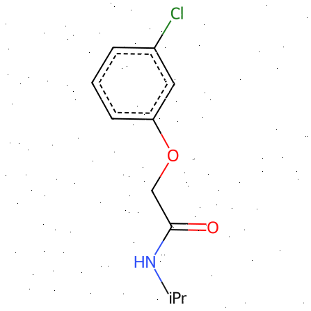 CC(C)NC(=O)COc1cccc(Cl)c1